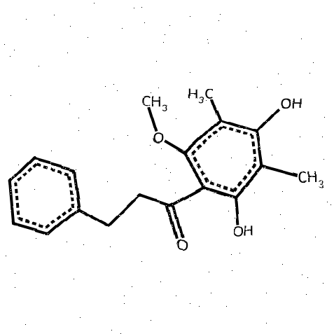 COc1c(C)c(O)c(C)c(O)c1C(=O)CCc1ccccc1